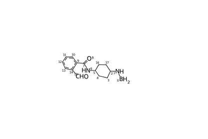 BNC1CCC(NC(=O)c2ccccc2C=O)CC1